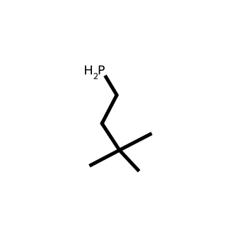 CC(C)(C)CCP